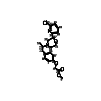 COC(=O)COc1ccc(CC(C)N2CCOC(c3cccc(Cl)n3)C2)cc1